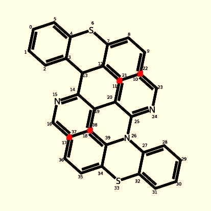 c1ccc2c(c1)Sc1ccccc1C2c1ncccc1-c1cccnc1N1c2ccccc2Sc2ccccc21